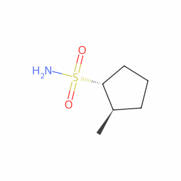 C[C@@H]1CCC[C@H]1S(N)(=O)=O